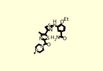 CCOc1ccc(C(N)=O)cc1Nc1nc(-c2sc(C(=O)N3CCN(C)CC3)nc2C)cs1